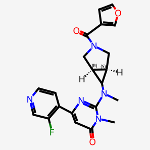 CN(c1nc(-c2ccncc2F)cc(=O)n1C)C1[C@H]2CN(C(=O)c3ccoc3)C[C@@H]12